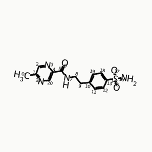 Cc1cnc(C(=O)NCCc2ccc(S(N)(=O)=O)cc2)cn1